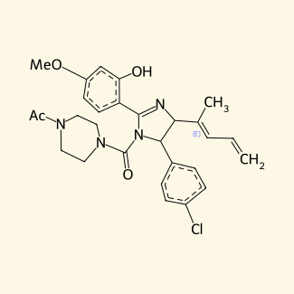 C=C/C=C(\C)C1N=C(c2ccc(OC)cc2O)N(C(=O)N2CCN(C(C)=O)CC2)C1c1ccc(Cl)cc1